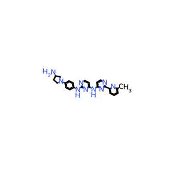 Cc1cccc(-c2nccc(Nc3ccnc(Nc4ccc(N5CCC(N)C5)cc4)n3)n2)n1